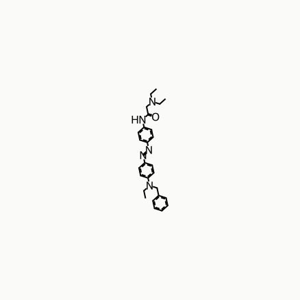 CCN(CC)CC(=O)Nc1ccc(/N=N/c2ccc(N(CC)Cc3ccccc3)cc2)cc1